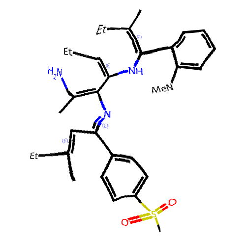 CC/C=C(/N/C(=C(/C)CC)c1ccccc1NC)C(/N=C(\C=C(/C)CC)c1ccc(S(C)(=O)=O)cc1)=C(C)N